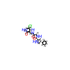 C[C@H](NC(=O)[C@H]1C[C@H](c2ccccc2)CN1)C(=O)NCc1cc(Cl)c[nH]c1=O